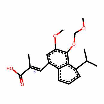 COCOc1c(OC)cc(/C=C(\C)C(=O)O)c2cccc(C(C)C)c12